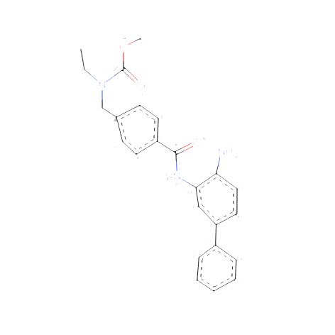 CCN(Cc1ccc(C(=O)Nc2cc(-c3ccccc3)ccc2N)cc1)C(=O)OC